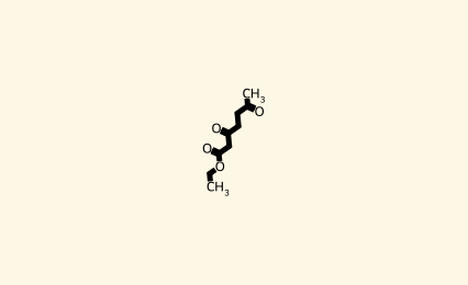 CCOC(=O)CC(=O)CCC(C)=O